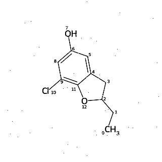 CCC1Cc2cc(O)cc(Cl)c2O1